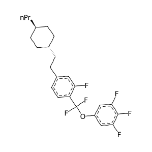 CCC[C@H]1CC[C@H](CCc2ccc(C(F)(F)Oc3cc(F)c(F)c(F)c3)c(F)c2)CC1